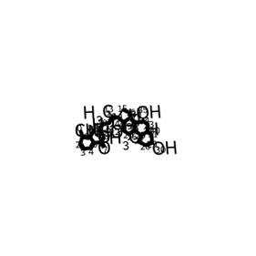 Cc1cccc2c(=O)oc(CC[C@@H](C)[C@H]3CC[C@H]4[C@H]5C(C[C@H](O)[C@]34C)[C@@]3(C)CC[C@@H](O)C[C@H]3C[C@H]5O)nc12